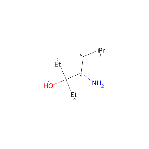 CCC(O)(CC)C(N)CC(C)C